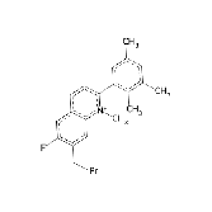 Cc1cc(C)c(C)c(-c2ccc3cc(F)c(CC(C)C)cc3[n+]2C)c1